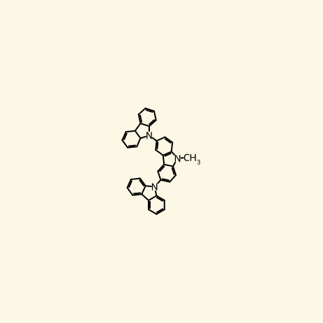 Cn1c2ccc(N3c4ccccc4C4C=CC=CC43)cc2c2cc(-n3c4ccccc4c4ccccc43)ccc21